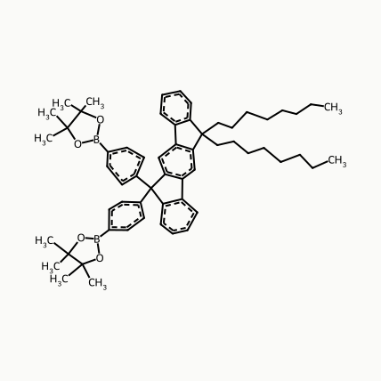 CCCCCCCCC1(CCCCCCCC)c2ccccc2-c2cc3c(cc21)-c1ccccc1C3(c1ccc(B2OC(C)(C)C(C)(C)O2)cc1)c1ccc(B2OC(C)(C)C(C)(C)O2)cc1